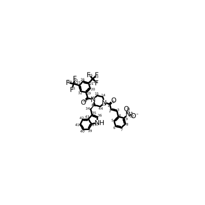 O=C(C=Cc1ccccc1[N+](=O)[O-])N1CCN(C(=O)c2cc(C(F)(F)F)cc(C(F)(F)F)c2)[C@H](Cc2c[nH]c3ccccc23)C1